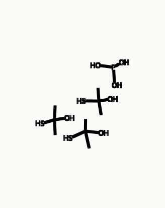 CC(C)(O)S.CC(C)(O)S.CC(C)(O)S.OP(O)O